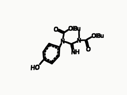 CC(C)COC(=O)N(C)C(=N)N(C(=O)OCC(C)C)c1ccc(O)cc1